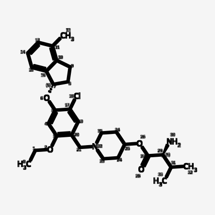 CCOc1cc(O[C@H]2CCc3c(C)cccc32)c(Cl)cc1CN1CCC(OC(=O)[C@@H](N)C(C)C)CC1